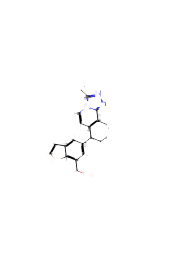 CCOC(=O)CC(c1cc(CO)c2sccc2c1)c1ccn2c(C)nnc2c1C